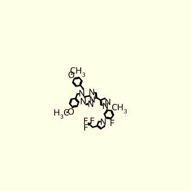 COc1ccc(CN(Cc2ccc(OC)cc2)c2ncnn3c(-c4cnn(-c5cc(N6CC=C(CC(F)(F)F)C6)c(F)cc5C)c4)cnc23)cc1